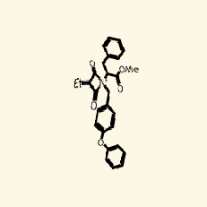 CCC1C(=O)[N+](Cc2ccc(Oc3ccccc3)cc2)(C(Cc2ccccc2)C(=O)OC)C1=O